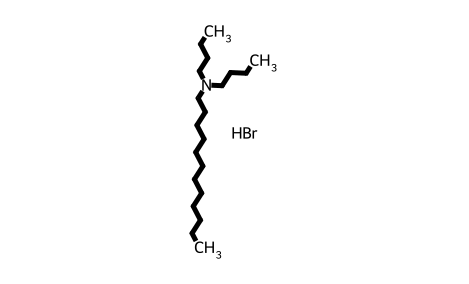 Br.CCCCCCCCCCCCN(CCCC)CCCC